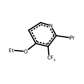 CCOc1ccnc(C(C)C)c1C(F)(F)F